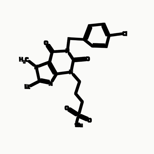 CCc1nc2c(c(=O)n(Cc3ccc(Cl)cc3)c(=O)n2CCCS(=O)(=O)C(C)(C)C)n1C